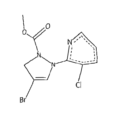 COC(=O)N1CC(Br)=CN1c1ncccc1Cl